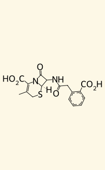 CC1=C(C(=O)O)N2C(=O)C(NC(=O)Cc3ccccc3C(=O)O)[C@H]2SC1